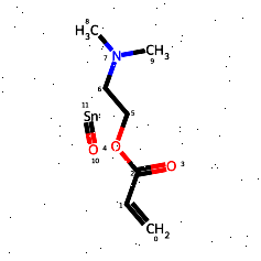 C=CC(=O)OCCN(C)C.[O]=[Sn]